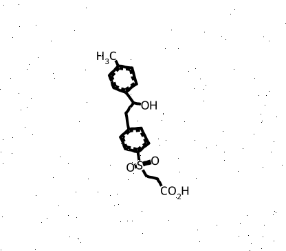 Cc1ccc(C(O)Cc2ccc(S(=O)(=O)CCC(=O)O)cc2)cc1